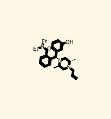 C=CCN1C[C@@H](C)N([C@@H](c2cccc(O)c2)c2ccccc2C(=O)N(CC)CC)C[C@@H]1C